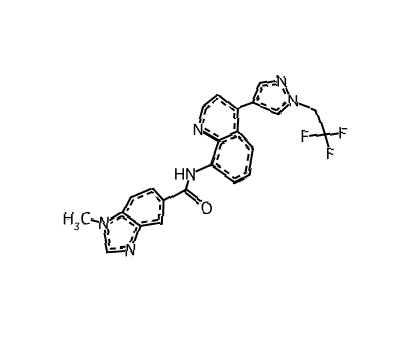 Cn1cnc2cc(C(=O)Nc3cccc4c(-c5cnn(CC(F)(F)F)c5)ccnc34)ccc21